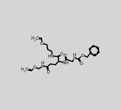 C=COCCCNC(=O)C(CCC(=O)NCOC=C)NC(=O)CNC(=O)OCc1ccccc1